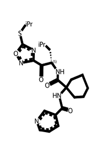 CC(C)C[C@H](NC(=O)C1(NC(=O)c2cccnc2)CCCCC1)C(=O)c1noc(SC(C)C)n1